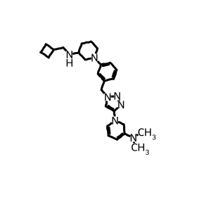 CN(C)C1=CC=CN(c2cn(Cc3cccc(N4CCCC(NCC5CCC5)C4)c3)nn2)C1